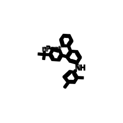 CCCCCC(C)(C)c1ccc(-c2cc(Nc3ccc(C)cc3C)ccc2-c2ccccc2)cc1